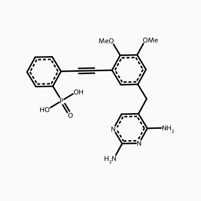 COc1cc(Cc2cnc(N)nc2N)cc(C#Cc2ccccc2P(=O)(O)O)c1OC